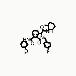 COc1cccc(NC(=O)C2C3CCC4(O3)C2C(=O)N(Cc2ccc(F)cc2)C4C(=O)NC2CCCCC2C)c1